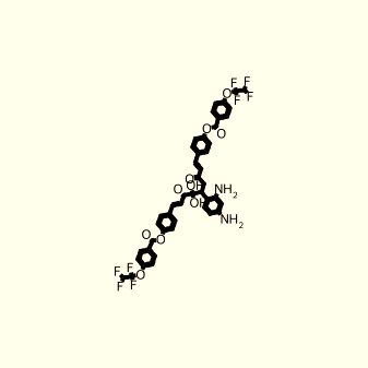 Nc1ccc(C(CC(=O)C=Cc2ccc(OC(=O)c3ccc(OC(F)(F)C(F)F)cc3)cc2)C(O)(O)C(=O)C=Cc2ccc(OC(=O)c3ccc(OC(F)(F)C(F)F)cc3)cc2)c(N)c1